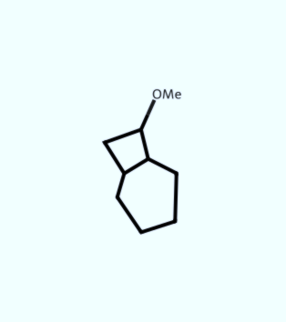 COC1CC2CCCCC21